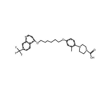 Cc1cc(OCCCCCCOc2ccnc3cc(C(F)(F)F)ccc23)ccc1N1CCN(C(=O)O)CC1